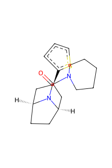 O=C(N1CCCCC1)N1[C@@H]2CC[C@H]1C[C@@H](c1cccs1)C2